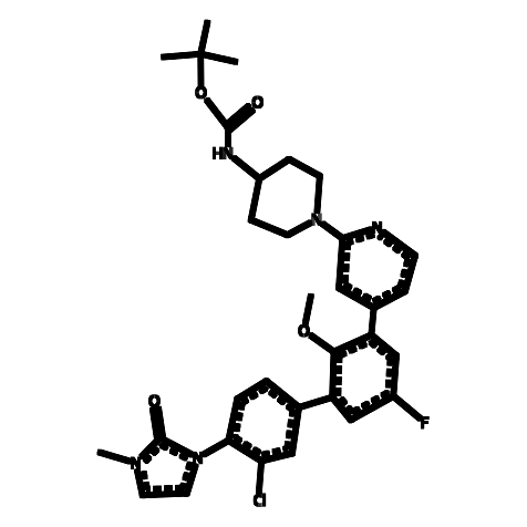 COc1c(-c2ccnc(N3CCC(NC(=O)OC(C)(C)C)CC3)c2)cc(F)cc1-c1ccc(-n2ccn(C)c2=O)c(Cl)c1